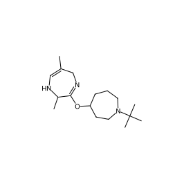 CC1=CNC(C)C(OC2CCCN(C(C)(C)C)CC2)=NC1